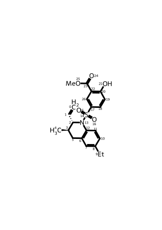 C=C[C@H]1[C@H](C)Cc2cc(CC)ccc2N1S(=O)(=O)c1ccc(O)c(C(=O)OC)c1